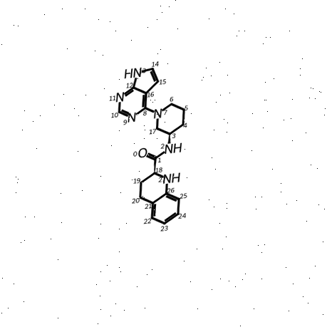 O=C(N[C@@H]1CCCN(c2ncnc3[nH]ccc23)C1)[C@@H]1CCc2ccccc2N1